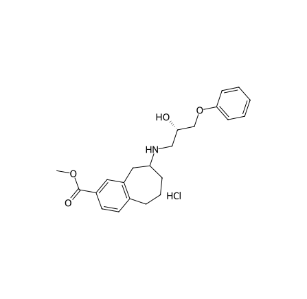 COC(=O)c1ccc2c(c1)CC(NC[C@H](O)COc1ccccc1)CCC2.Cl